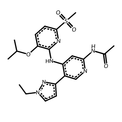 CCn1ccc(-c2cnc(NC(C)=O)cc2Nc2nc(S(C)(=O)=O)ccc2OC(C)C)n1